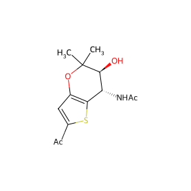 CC(=O)N[C@@H]1c2sc(C(C)=O)cc2OC(C)(C)[C@H]1O